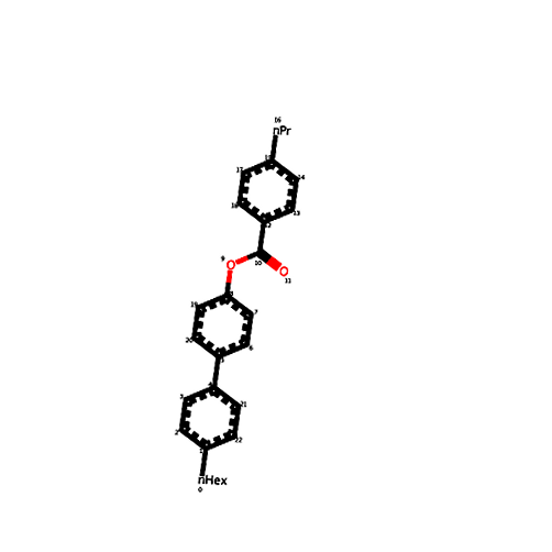 CCCCCCc1ccc(-c2ccc(OC(=O)c3ccc(CCC)cc3)cc2)cc1